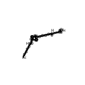 CC(=O)CCOCCOCCOCCOCCNC(=O)CCC(=O)N1Cc2ccccc2-c2c(nnn2CCOCCOCCOCCOCCC(=O)NCCCCCCOP(O)(=S)OC(C)C)-c2ccccc21